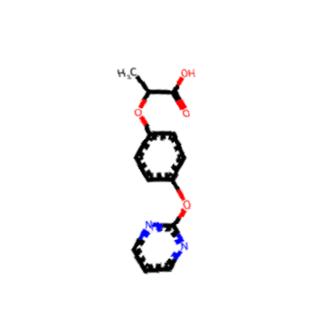 CC(Oc1ccc(Oc2ncccn2)cc1)C(=O)O